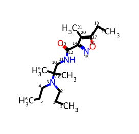 CCCN(CCC)C(C)(C)CNC(=O)c1noc(CC)c1C